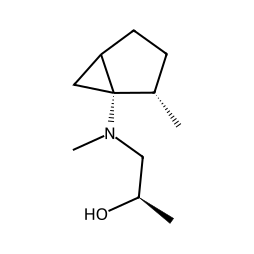 C[C@@H](O)CN(C)[C@]12CC1CC[C@@H]2C